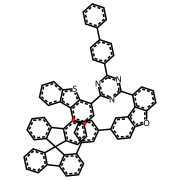 c1ccc(-c2ccc(-c3nc(-c4cccc5c4sc4ccccc45)nc(-c4cccc5oc6ccc(-c7cccc(-c8cccc9c8C8(c%10ccccc%10-c%10ccccc%108)c8ccccc8-9)c7)cc6c45)n3)cc2)cc1